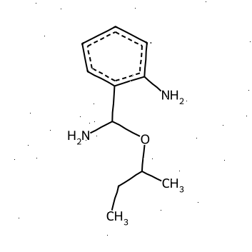 CCC(C)OC(N)c1ccc[c]c1N